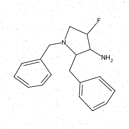 NC1C(F)CN(Cc2ccccc2)C1Cc1ccccc1